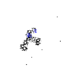 c1cncc(-c2cccc(-n3nc4cc(-c5ccc(-c6cccc7ccccc67)cc5)cc(-c5ccc(-c6cccc7ccccc67)cc5)c4n3)c2)c1